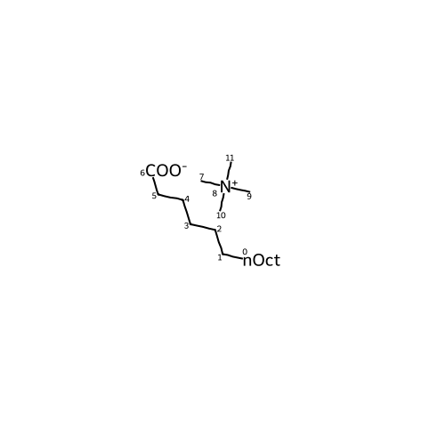 CCCCCCCCCCCCCC(=O)[O-].C[N+](C)(C)C